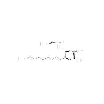 C.C=CCS.CCCCCCCCCc1ccc(O)c(C)c1